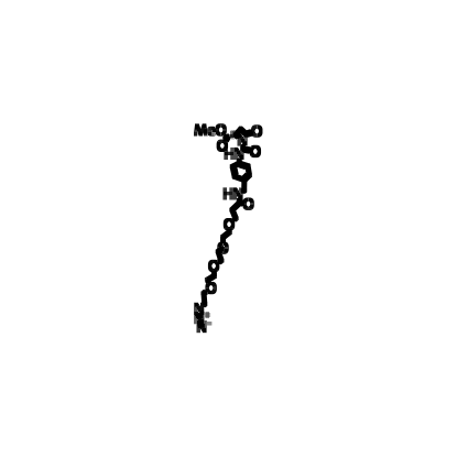 COC(=O)[C@@H]1CC(=O)N1C(=O)Nc1ccc(CNC(=O)CCOCCOCCOCCOCCN=[N+]=[N-])cc1